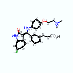 CN(C)CCOc1ccc(N/C(=C2\C(=O)Nc3cc(F)ccc32)c2cccc(CCC(=O)O)c2)cc1